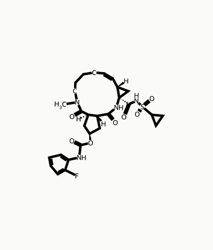 CN1CCCC/C=C\[C@@H]2C[C@@]2(C(=O)NS(=O)(=O)C2CC2)NC(=O)[C@@H]2C[C@@H](OC(=O)Nc3ccccc3F)C[C@H]2C1=O